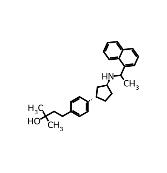 CC(N[C@H]1CC[C@H](c2ccc(CCC(C)(C)O)cc2)C1)c1cccc2ccccc12